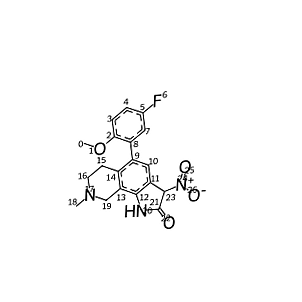 COc1ccc(F)cc1-c1cc2c(c3c1CCN(C)C3)NC(=O)C2[N+](=O)[O-]